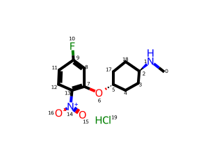 CN[C@H]1CC[C@H](Oc2cc(F)ccc2[N+](=O)[O-])CC1.Cl